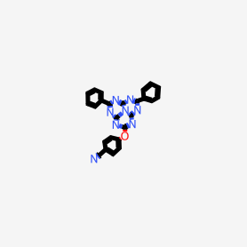 N#Cc1ccc(OC2=NC3=NC(c4ccccc4)=NC4=NC(c5ccccc5)=NC(=N2)N34)cc1